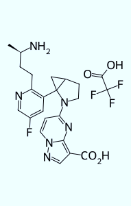 C[C@@H](N)CCc1ncc(F)cc1C12CC1CCN2c1ccn2ncc(C(=O)O)c2n1.O=C(O)C(F)(F)F